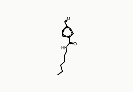 [CH2]CCCCCNC(=O)c1ccc(C=O)cc1